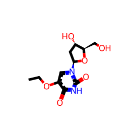 CCOc1cn([C@H]2C[C@H](O)[C@@H](CO)O2)c(=O)[nH]c1=O